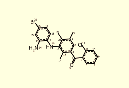 Cc1cc(C(=O)c2ccccc2Cl)c(C)c(Nc2ccc(Br)cc2N)c1C